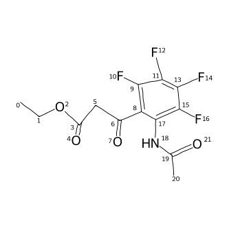 CCOC(=O)CC(=O)c1c(F)c(F)c(F)c(F)c1NC(C)=O